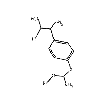 CCOC(C)Oc1ccc(C(C)C(C)S)cc1